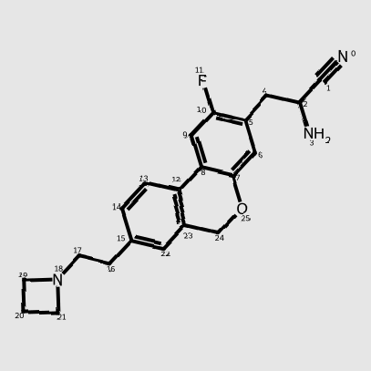 N#CC(N)Cc1cc2c(cc1F)-c1ccc(CCN3CCC3)cc1CO2